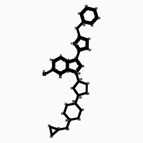 Clc1ncc2c(-c3nc(Cc4ccccc4)cs3)cn(C3CCC(C4CCN(CC5CC5)CC4)C3)c2n1